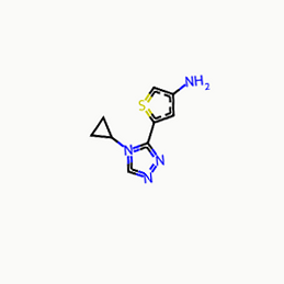 Nc1csc(-c2nncn2C2CC2)c1